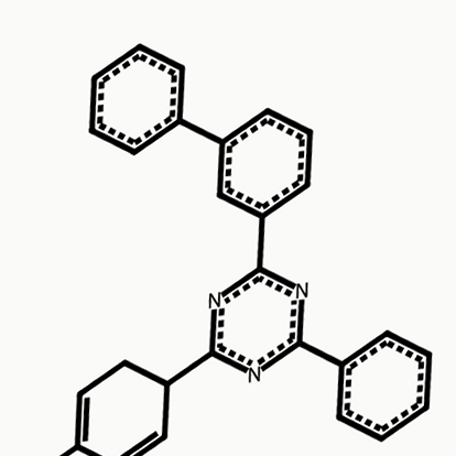 ClC1=CCC(c2nc(-c3ccccc3)nc(-c3cccc(-c4ccccc4)c3)n2)C=C1